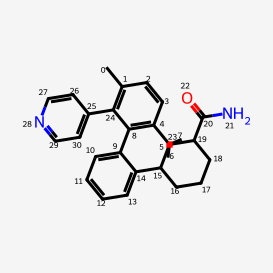 Cc1ccc(C(C)C)c(-c2ccccc2C2CCCC(C(N)=O)C2)c1-c1ccncc1